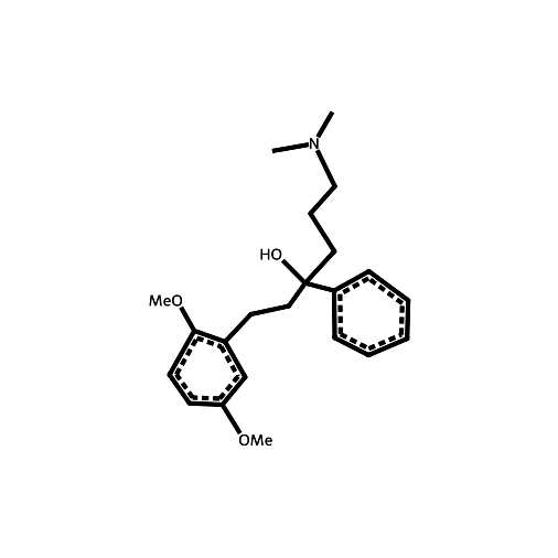 COc1ccc(OC)c(CCC(O)(CCCN(C)C)c2ccccc2)c1